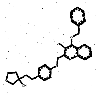 Cc1c(COc2ccc(CCC3(O)CCCC3)cc2)nc2ccccc2c1OCc1ccccc1